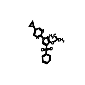 CC(C)Oc1nn(-c2ncc(C3CC3)cn2)cc1S(=O)(=O)c1ccccc1